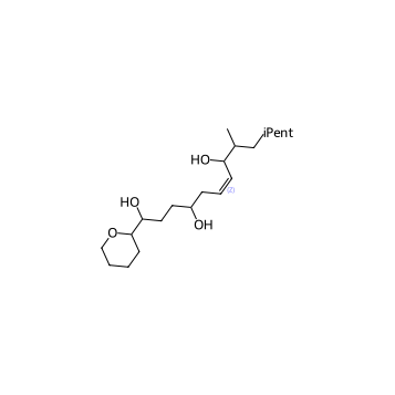 CCCC(C)CC(C)C(O)/C=C\CC(O)CCC(O)C1CCCCO1